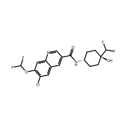 O=C(N[C@H]1CC[C@@](O)(C(F)F)CC1)c1cnc2cc(OC(F)F)c(Cl)cc2c1